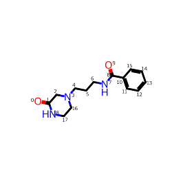 O=C1CN(CCCNC(=O)c2ccccc2)CCN1